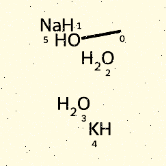 CO.O.O.[KH].[NaH]